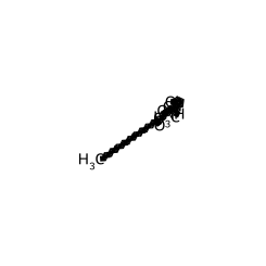 CCC=CCC=CCC=CCC=CCC=CCCCC(=O)OCC(=O)NC(=O)C(CC)N1CCCC1=O